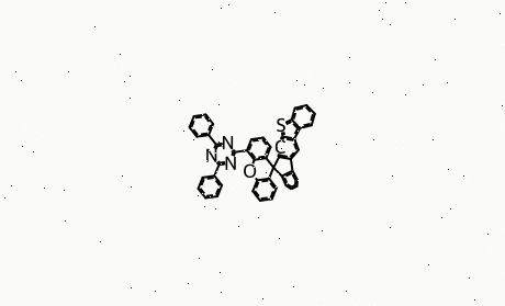 c1ccc(-c2nc(-c3ccccc3)nc(-c3cccc4c3Oc3ccccc3C43c4ccccc4-c4cc5c(cc43)sc3ccccc35)n2)cc1